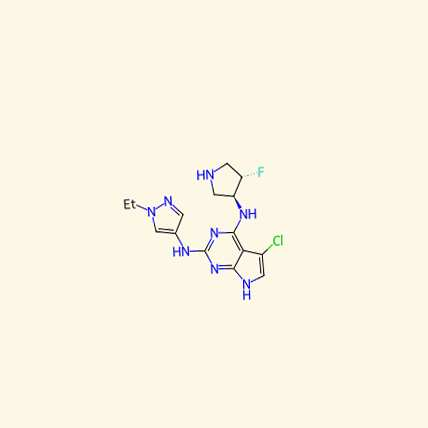 CCn1cc(Nc2nc(N[C@H]3CNC[C@@H]3F)c3c(Cl)c[nH]c3n2)cn1